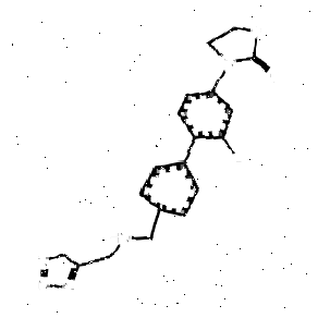 O=C1OCCN1c1ccc(-c2ccc(CNCC3=NN=NC3)cc2)c(F)c1